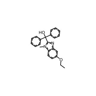 CCOc1ccc2c(c1)nc(C(O)(c1ccccc1)c1ccccc1)n2C